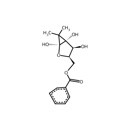 CC1(C)[C@]2(O)O[C@H](COC(=O)c3ccccc3)[C@H](O)[C@]12O